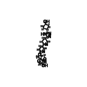 Oc1ccc(-c2nnc(-c3ccc(-c4ccc(O[C@H]5CO[C@H]6[C@@H]5OC[C@H]6O)nc4)nc3)[nH]2)cc1